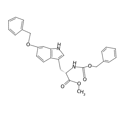 COC(=O)[C@H](Cc1c[nH]c2cc(OCc3ccccc3)ccc12)NC(=O)OCc1ccccc1